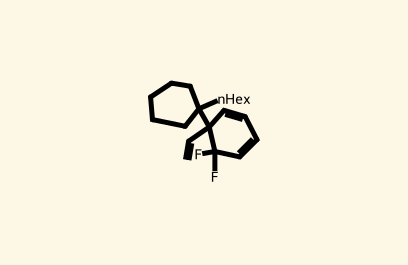 C=CC1(C2(CCCCCC)CCCCC2)C=CC=CC1(F)F